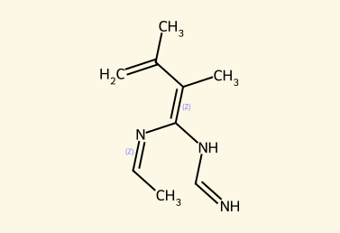 C=C(C)/C(C)=C(\N=C/C)NC=N